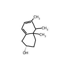 CC1=CC=C2C[C@@H](O)CCC2(C)C1C